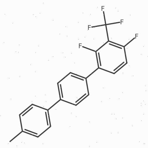 Cc1ccc(-c2ccc(-c3ccc(F)c(C(F)(F)F)c3F)cc2)cc1